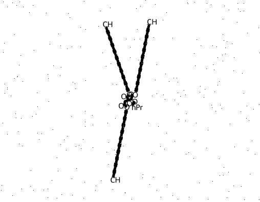 C#CC#CC#CC#CC#CC#CC#CC#CC#CC#CC#COC(=O)CC(CC(=O)OC#CC#CC#CC#CC#CC#CC#CC#CC#CC#CC#C)(OC(=O)CCC)C(=O)OC#CC#CC#CC#CC#CC#CC#CC#CC#CC#CC#C